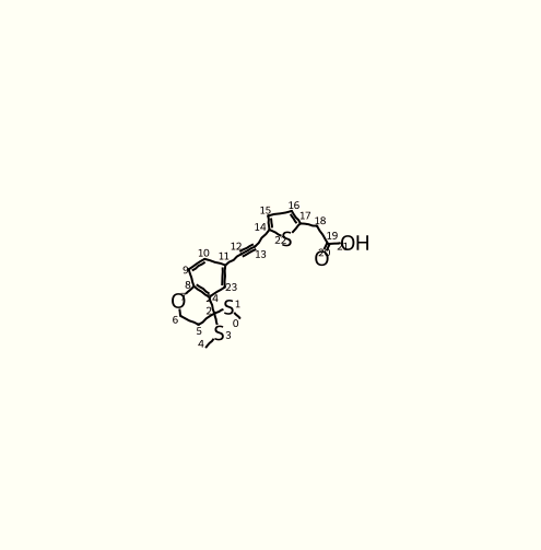 CSC1(SC)CCOc2ccc(C#Cc3ccc(CC(=O)O)s3)cc21